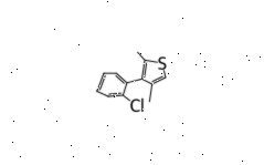 Cc1csc(C)c1-c1ccccc1Cl